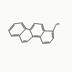 CCCc1cccc2c1ccc1c3ccccc3ccc21